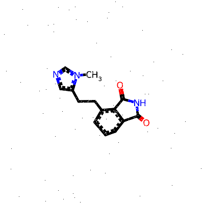 Cn1cncc1CCc1cccc2c1C(=O)NC2=O